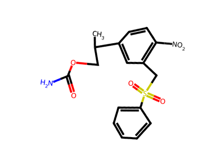 CC(COC(N)=O)c1ccc([N+](=O)[O-])c(CS(=O)(=O)c2ccccc2)c1